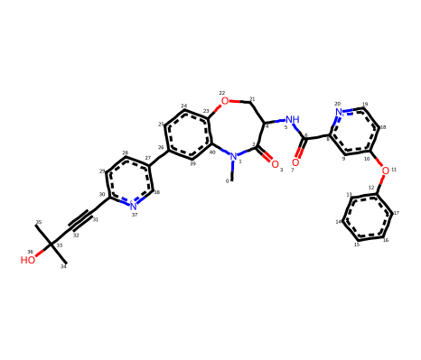 CN1C(=O)C(NC(=O)c2cc(Oc3ccccc3)ccn2)COc2ccc(-c3ccc(C#CC(C)(C)O)nc3)cc21